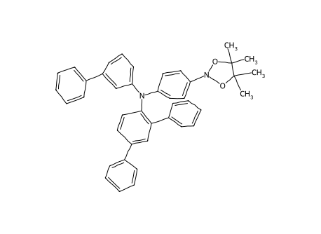 CC1(C)ON(c2ccc(N(c3cccc(-c4ccccc4)c3)c3ccc(-c4ccccc4)cc3-c3ccccc3)cc2)OC1(C)C